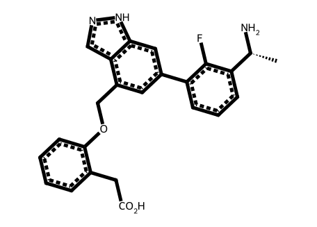 C[C@@H](N)c1cccc(-c2cc(COc3ccccc3CC(=O)O)c3cn[nH]c3c2)c1F